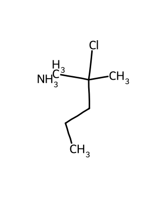 CCCC(C)(C)Cl.N